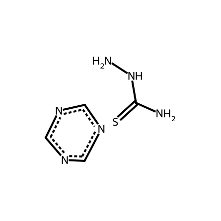 NNC(N)=S.c1ncncn1